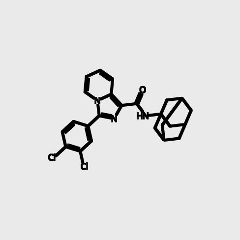 O=C(NC12CC3CC(CC(C3)C1)C2)c1nc(-c2ccc(Cl)c(Cl)c2)n2ccccc12